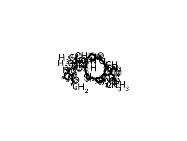 C=CC(=O)N1CCC[C@H]2CN(C(=O)N(C)C(C(=O)N[C@H]3Cc4nc(cs4)-c4ccc5c(c4)c(c(-c4cccnc4[C@H](C)OC)n5CC)CC(C)(C)COC(=O)[C@@H]4CCCN(N4)C3=O)C(C)C)C[C@H]21